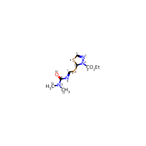 CCOC(=O)N1N=CSC1SC=NC(=O)N(C)C